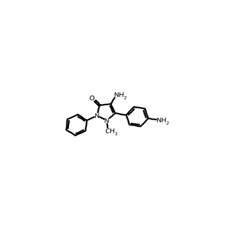 Cn1c(-c2ccc(N)cc2)c(N)c(=O)n1-c1ccccc1